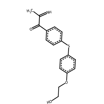 CC(=N)C(=O)c1ccc(Sc2ccc(OCCO)cc2)cc1